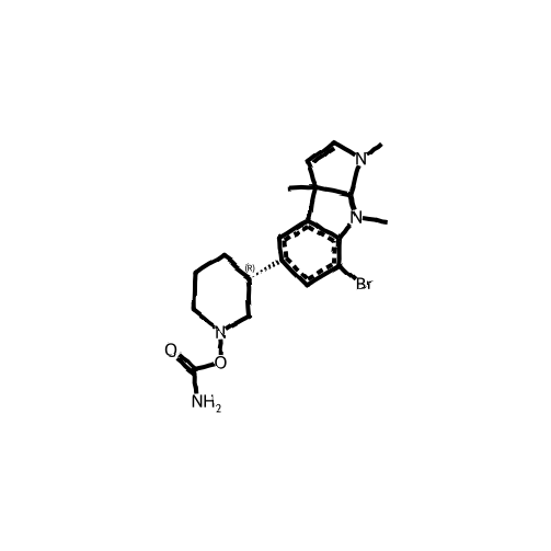 CN1C=CC2(C)c3cc([C@H]4CCCN(OC(N)=O)C4)cc(Br)c3N(C)C12